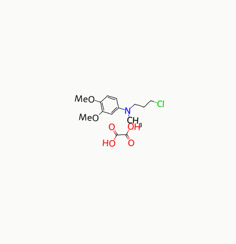 COc1ccc(N(C)CCCCl)cc1OC.O=C(O)C(=O)O